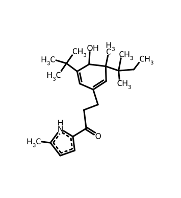 CCC(C)(C)C1(C)C=C(CCC(=O)c2ccc(C)[nH]2)C=C(C(C)(C)C)C1O